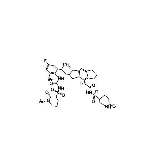 CC(=O)N1CCCC(S(=O)(=O)NC(=O)Nc2c(C(C)C)cc(F)cc2C(C)CC2Cc3cc4c(c(NC(=O)NS(=O)(=O)C5CCC(=O)NC5)c3C2)CCC4)C1=O